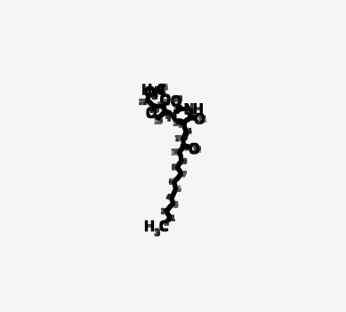 CCCCCCCCCCCC(=O)/C=C/c1cn(C2COC(CO)C2OC)c(=O)[nH]c1=O